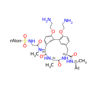 CCCCCCCCCS(=O)(=O)NCC(=O)N(C)[C@@H]1C(=O)N[C@@H](C)C(=O)N[C@H](C(=O)N[C@@H](C)C(C)=O)Cc2ccc(OCCN)c(c2)-c2cc1ccc2OCCN